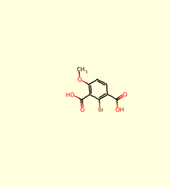 COc1ccc(C(=O)O)c(Br)c1C(=O)O